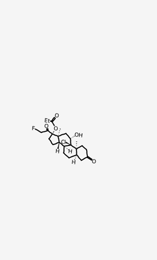 CCC(=O)O[C@@]1(C(=O)CF)CC[C@H]2[C@@H]3CC[C@@H]4CC(=O)CC[C@]4(C)[C@@]3(Cl)[C@@H](O)C[C@@]21C